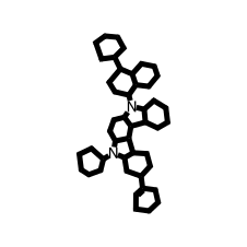 C1=C(C2CCC3C4C5C6CCCCC6N(C6CCC(C7CCCCC7)C7CCCCC76)C5CCC4N(C4CCCCC4)C3C2)CCCC1